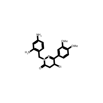 CCC1CC(=O)N(Cc2ccc(N)cc2N)N=C1c1ccc(OC)c(OC)c1